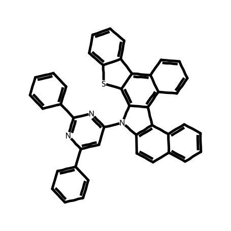 c1ccc(-c2cc(-n3c4ccc5ccccc5c4c4c5ccccc5c5c6ccccc6sc5c43)nc(-c3ccccc3)n2)cc1